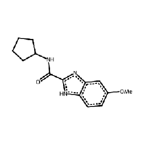 COc1ccc2[nH]c(C(=O)NC3CCCC3)nc2c1